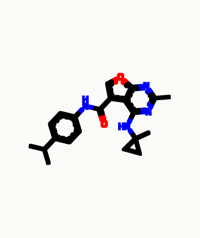 Cc1nc(NC2(C)CC2)c2c(C(=O)Nc3ccc(C(C)C)cc3)coc2n1